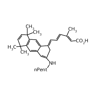 CCCCCNC1=Cc2cc3c(cc2C(=CC=CC(C)=CC(=O)O)C1)C(C)(C)C=CC3(C)C